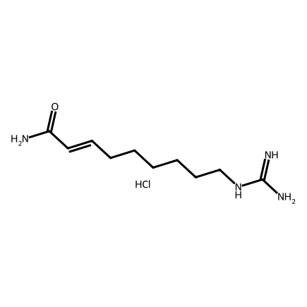 Cl.N=C(N)NCCCCCCC=CC(N)=O